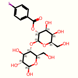 O=C(O[C@H]1[C@H](O[C@H]2[C@H](O)[C@@H](O)[C@H](O)O[C@@H]2CO)O[C@H](CO)[C@H](O)[C@@H]1O)c1ccc(I)cc1